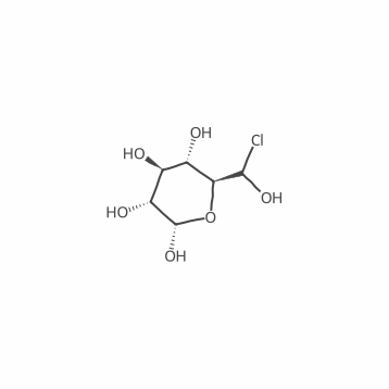 OC(Cl)[C@H]1O[C@H](O)[C@H](O)[C@@H](O)[C@@H]1O